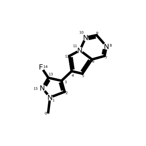 Cn1cc(-c2cc3cncnn3c2)c(F)n1